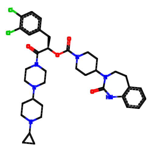 O=C(O[C@H](Cc1ccc(Cl)c(Cl)c1)C(=O)N1CCN(C2CCN(C3CC3)CC2)CC1)N1CCC(N2CCc3ccccc3NC2=O)CC1